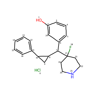 Cl.Oc1cccc(C(C2CC2c2ccccc2)C2(F)CCNCC2)c1